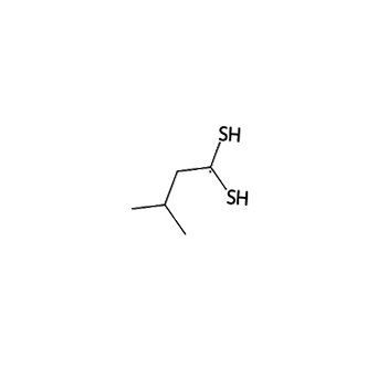 CC(C)C[C](S)S